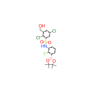 CC1(C)OB(c2cccc(NS(=O)(=O)c3cc(Cl)cc(CO)c3Cl)c2F)OC1(C)C